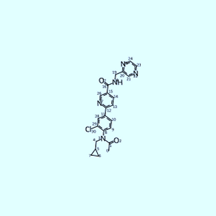 CC(=O)N(CC1CC1)c1ccc(-c2ccc(C(=O)NCc3cnccn3)cn2)cc1Cl